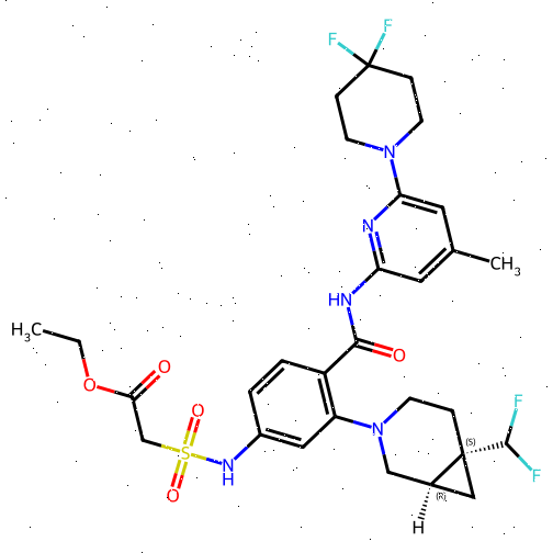 CCOC(=O)CS(=O)(=O)Nc1ccc(C(=O)Nc2cc(C)cc(N3CCC(F)(F)CC3)n2)c(N2CC[C@@]3(C(F)F)C[C@H]3C2)c1